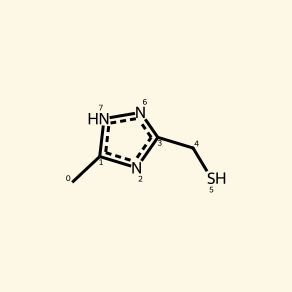 Cc1nc(CS)n[nH]1